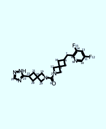 O=C(N1CC2(CC(Cc3ncc(F)cc3F)C2)C1)N1CC2(CC(c3ncn[nH]3)C2)C1